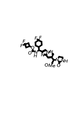 COCC(c1cnn2cc(C(NC(=O)OC3CC(F)(F)C3)C3CCC(F)(F)CC3)nc2c1)N1CCNC1=O